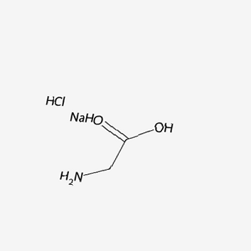 Cl.NCC(=O)O.[NaH]